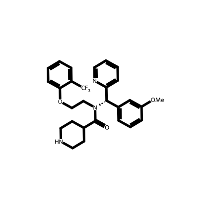 COc1cccc([C@@H](c2ccccn2)N(CCOc2ccccc2C(F)(F)F)C(=O)C2CCNCC2)c1